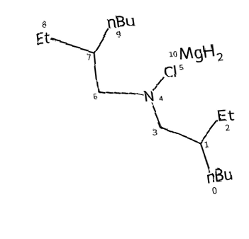 CCCCC(CC)CN(Cl)CC(CC)CCCC.[MgH2]